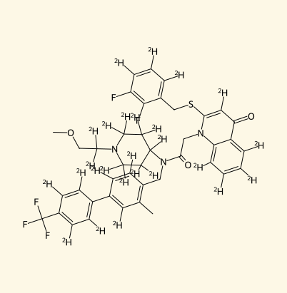 [2H]c1c([2H])c(F)c(F)c(CSc2c([2H])c(=O)c3c([2H])c([2H])c([2H])c([2H])c3n2CC(=O)N(Cc2c([2H])c([2H])c(-c3c([2H])c([2H])c(C(F)(F)F)c([2H])c3[2H])c([2H])c2C)C2([2H])C([2H])([2H])C([2H])([2H])N(C([2H])([2H])COC)C([2H])([2H])C2([2H])[2H])c1[2H]